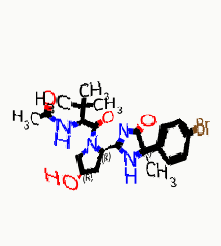 CC(=O)NC(C(=O)N1C[C@H](O)C[C@@H]1C1=NC(=O)[C@@](C)(c2ccc(Br)cc2)N1)C(C)(C)C